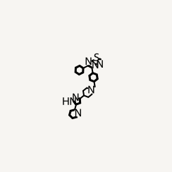 c1ccc(-c2nc3scnn3c2-c2ccc(CN3CCC(c4cc(-c5ccccn5)[nH]n4)CC3)cc2)cc1